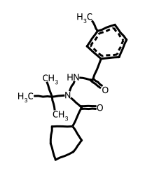 Cc1cccc(C(=O)NN(C(=O)C2CCCCC2)C(C)(C)C)c1